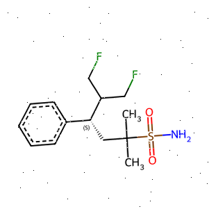 CC(C)(C[C@H](c1ccccc1)C(CF)CF)S(N)(=O)=O